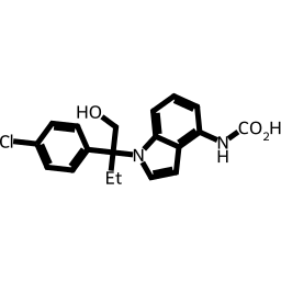 CCC(CO)(c1ccc(Cl)cc1)n1ccc2c(NC(=O)O)cccc21